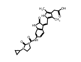 Cc1[nH]c(/C=C2\C(=O)Nc3cc(NC(=O)N4CCN(C5CC5)C4=O)ccc32)c(C)c1CC(=O)O